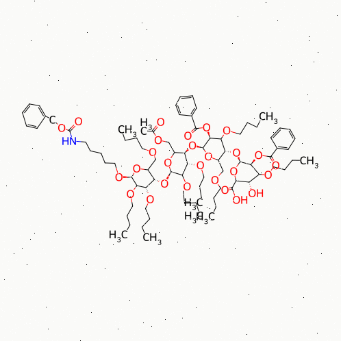 CCCCOCC1O[C@@H](O[C@@H]2C(COC(C)=O)O[C@H](O[C@H]3C(COCCCC)O[C@H](OCCCCCNC(=O)OCc4ccccc4)C(OCCCC)[C@H]3OCCCC)C(OCCCC)[C@H]2OCCCC)[C@@H](OC(=O)c2ccccc2)C(OCCCC)[C@@H]1O[C@@H]1OC(C(=O)O)[C@@H](O)C(OCCCC)[C@@H]1OC(=O)c1ccccc1